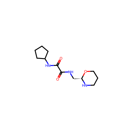 O=C(NC[C@H]1NCCCO1)C(=O)NC1CCCC1